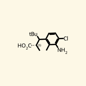 Cc1c(C([C@H](C)C(=O)O)C(C)(C)C)ccc(Cl)c1N